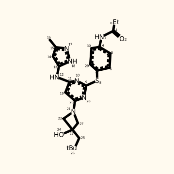 CCC(=O)Nc1ccc(Sc2nc(Nc3cc(C)n[nH]3)cc(N3CC(O)(CC(C)(C)C)C3)n2)cc1